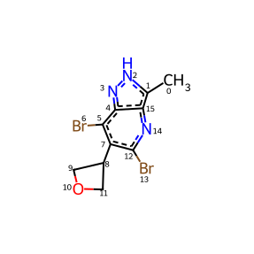 Cc1[nH]nc2c(Br)c(C3COC3)c(Br)nc12